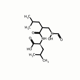 CC(C)CC(CN(O)C=O)C(=O)N[C@@H](CC(C)C)C(=O)O